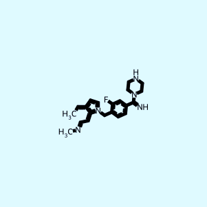 C/C=c1/ccn(Cc2ccc(C(=N)N3CCNCC3)cc2F)/c1=C/C=N/C